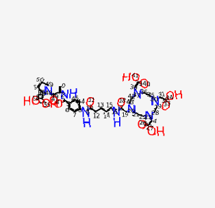 C=C(NC(=O)c1ccc(NC(=O)CCCCNC(=O)CN2CCN(CC(=O)O)CCN(CC(=O)O)CCN(CC(=O)O)CC2)cc1)C(=O)N1CCC[C@H]1B(O)O